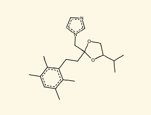 Cc1cc(C)c(C)c(CCC2(Cn3ccnc3)OCC(C(C)C)O2)c1C